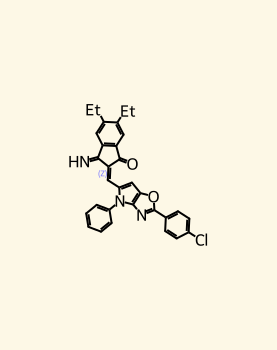 CCc1cc2c(cc1CC)C(=O)/C(=C\c1cc3oc(-c4ccc(Cl)cc4)nc3n1-c1ccccc1)C2=N